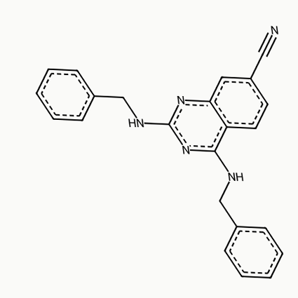 N#Cc1ccc2c(NCc3ccccc3)nc(NCc3ccccc3)nc2c1